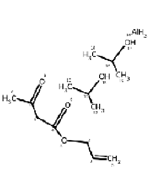 C=CCOC(=O)CC(C)=O.CC(C)O.CC(C)O.[AlH3]